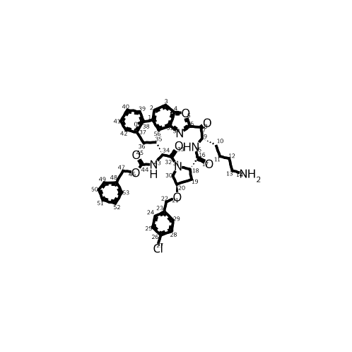 Cc1ccc2oc(C(=O)[C@H](CCCCN)NC(=O)[C@@H]3C[C@@H](OCc4ccc(Cl)cc4)CN3C(=O)[C@@H](CCc3ccccc3)NC(=O)OCc3ccccc3)nc2c1